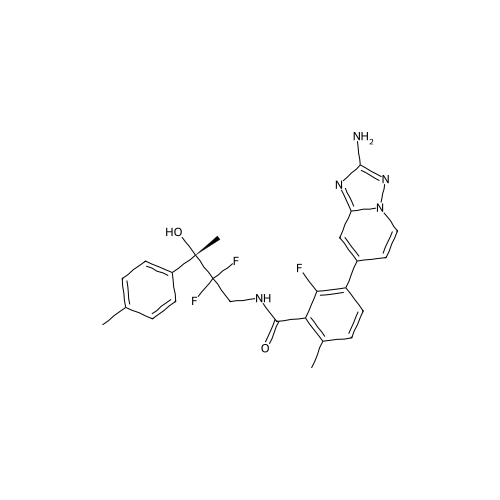 Cc1ccc([C@](C)(O)C(F)(F)CNC(=O)c2c(C)ccc(-c3ccn4nc(N)nc4c3)c2F)cc1